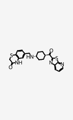 O=C1CSc2ccc(CN[C@H]3CC[C@H](C(=O)c4nc5cccnc5s4)CC3)cc2N1